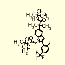 CC(C)(C)NC(=O)Cn1c(-c2cc(C(F)(F)F)ccc2I)cc2cc(C(C)(C)C(=O)NC(C)(C)C)ccc21